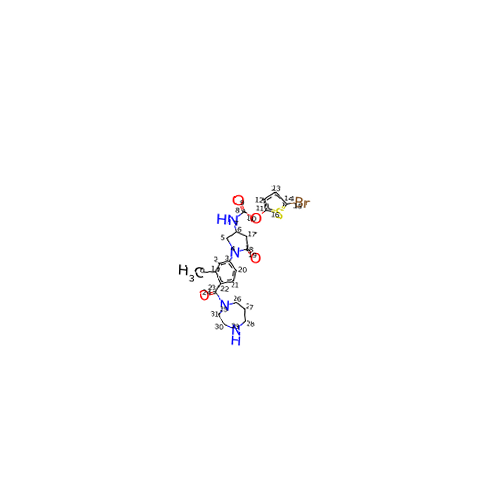 Cc1cc(N2CC(NC(=O)Oc3ccc(Br)s3)CC2=O)ccc1C(=O)N1CCCNCC1